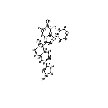 C[C@H]1C(=O)N(C)Cc2c(-c3c(F)ccc4cc(-c5ccn(C)n5)ncc34)nc(C3CCOCC3)n21